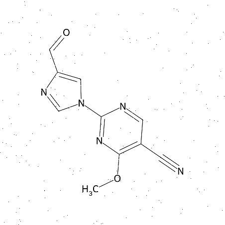 COc1nc(-n2cnc(C=O)c2)ncc1C#N